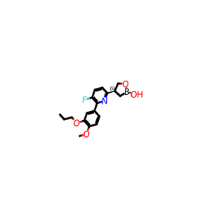 CCCOc1cc(-c2nc([C@H]3COB(O)C3)ccc2F)ccc1OC